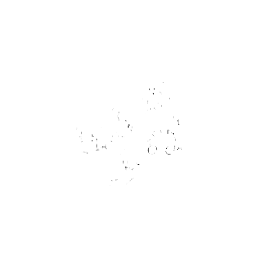 O=C(CCN(C(=O)CCN1C(=O)C=CC1=O)N(CCC(=O)ON1C(=O)CCC1O)C(=O)CCN1C(=O)C=CC1=O)ON1CCCC1=O